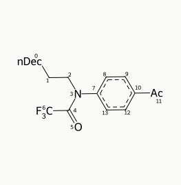 CCCCCCCCCCCCN(C(=O)C(F)(F)F)c1ccc(C(C)=O)cc1